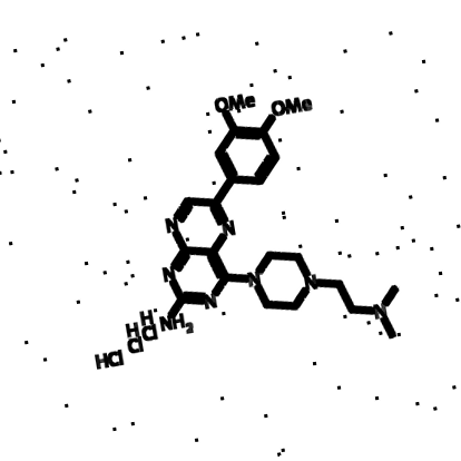 COc1ccc(-c2cnc3nc(N)nc(N4CCN(CCN(C)C)CC4)c3n2)cc1OC.Cl.Cl.Cl